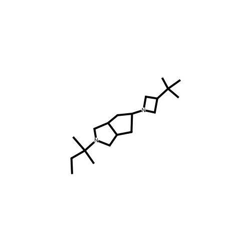 CCC(C)(C)N1CC2CC(N3CC(C(C)(C)C)C3)CC2C1